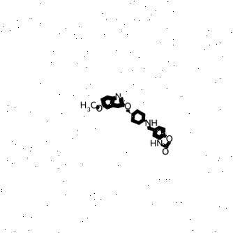 COc1ccc2ncc(OC[C@H]3CC[C@H](NCc4ccc5c(c4)NC(=O)CO5)CC3)cc2c1